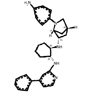 Nc1ccc(N2C[C@@H]3C[C@H](N[C@@H]4CCCC[C@H]4Nc4cc(-c5ccccc5)ccn4)[C@H]2C3)cc1